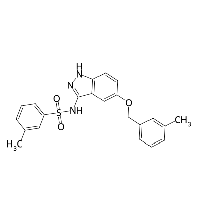 Cc1cccc(COc2ccc3[nH]nc(NS(=O)(=O)c4cccc(C)c4)c3c2)c1